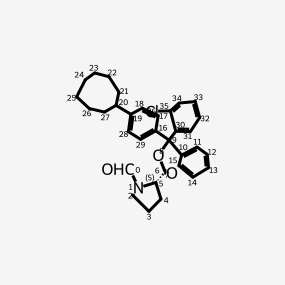 O=CN1CCC[C@H]1C(=O)OC(c1ccccc1)(c1ccc(C2CCCCCCC2)cc1)c1ccccc1Cl